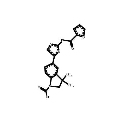 CCC(=O)N1CC(C)(C)c2cc(-c3csc(NC(=O)c4ccco4)n3)ccc21